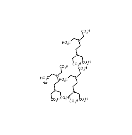 O=C(O)CN(CCN(CC(=O)O)CC(=O)O)CC(=O)O.O=C(O)CN(CCN(CC(=O)O)CC(=O)O)CC(=O)O.O=C(O)CN(CCN(CC(=O)O)CC(=O)O)CC(=O)O.[Na]